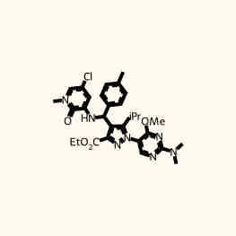 CCOC(=O)c1nn(-c2cnc(N(C)C)nc2OC)c(C(C)C)c1C(Nc1cc(Cl)cn(C)c1=O)c1ccc(C)cc1